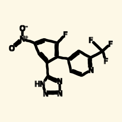 O=[N+]([O-])c1cc(F)c(-c2ccnc(C(F)(F)F)c2)c(-c2nnn[nH]2)c1